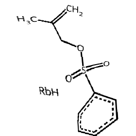 C=C(C)COS(=O)(=O)c1ccccc1.[RbH]